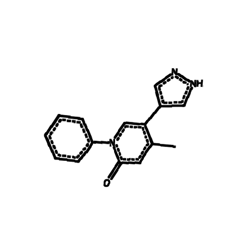 Cc1cc(=O)n(-c2ccccc2)cc1-c1cn[nH]c1